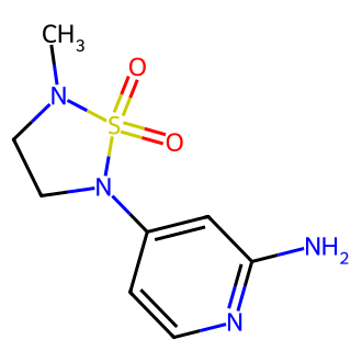 CN1CCN(c2ccnc(N)c2)S1(=O)=O